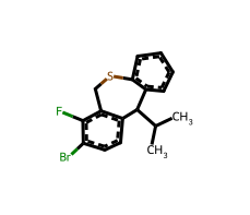 CC(C)C1c2ccccc2SCc2c1ccc(Br)c2F